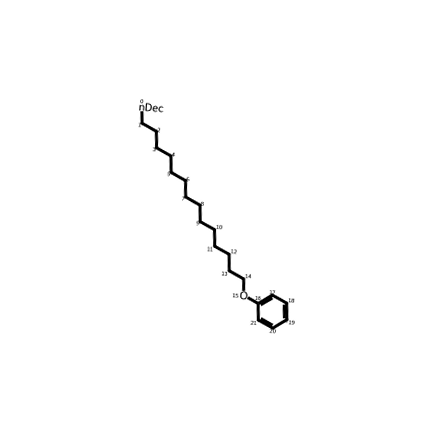 CCCCCCCCCCCCCCCCCCCCCCCCOc1cc[c]cc1